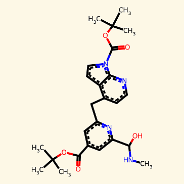 CNC(O)c1cc(C(=O)OC(C)(C)C)cc(Cc2ccnc3c2ccn3C(=O)OC(C)(C)C)n1